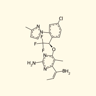 B/C(=C/C)c1nc(N)nc(O[C@H](c2ccc(Cl)cc2-n2ccc(C)n2)C(F)(F)F)c1C